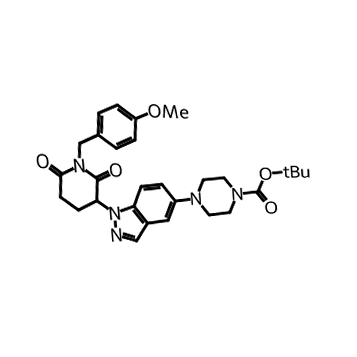 COc1ccc(CN2C(=O)CCC(n3ncc4cc(N5CCN(C(=O)OC(C)(C)C)CC5)ccc43)C2=O)cc1